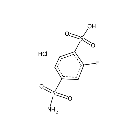 Cl.NS(=O)(=O)c1ccc(S(=O)(=O)O)c(F)c1